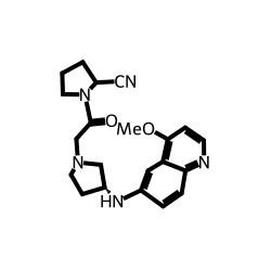 COc1ccnc2ccc(N[C@@H]3CCN(CC(=O)N4CCCC4C#N)C3)cc12